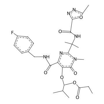 CCC(=O)OC(Oc1c(C(=O)NCc2ccc(F)cc2)nc(C(C)(C)NC(=O)c2nnc(C)o2)n(C)c1=O)C(C)C